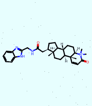 C[C@]12C=CC(=O)[N+](C)(C)[C@@H]1CC[C@@H]1[C@@H]2CC[C@]2(C)[C@@H](CC(=O)NCc3nc4ccccc4[nH]3)CC[C@@H]12